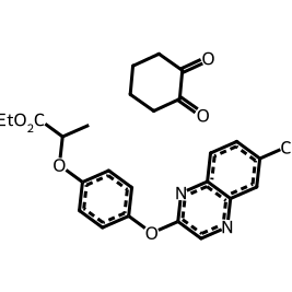 CCOC(=O)C(C)Oc1ccc(Oc2cnc3cc(Cl)ccc3n2)cc1.O=C1CCCCC1=O